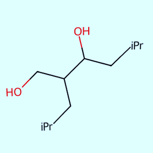 CC(C)CC(O)C(CO)CC(C)C